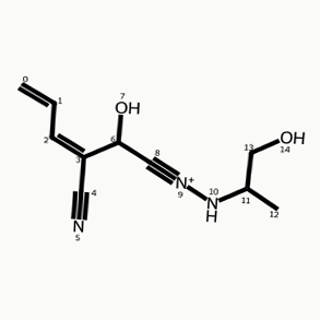 C=CC=C(C#N)C(O)C#[N+]NC(C)CO